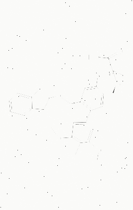 COc1cc(-c2ccc(N[C@]3(C(=O)O)C[C@H]3C)cc2COC2Cc3ccccc3C2)cc(OC)c1C